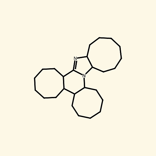 C1CCCC2N=C3C4CCCCCCC4C4CCCCCCC4N3C2CCC1